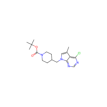 Cc1cn(CC2CCN(C(=O)OC(C)(C)C)CC2)c2ncnc(Cl)c12